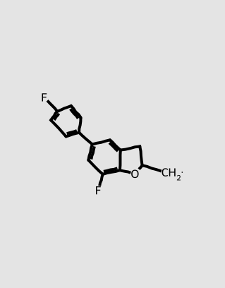 [CH2]C1Cc2cc(-c3ccc(F)cc3)cc(F)c2O1